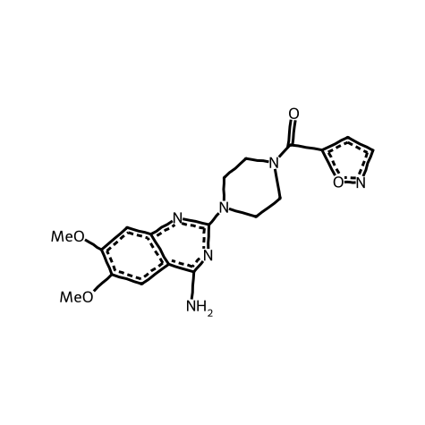 COc1cc2nc(N3CCN(C(=O)c4ccno4)CC3)nc(N)c2cc1OC